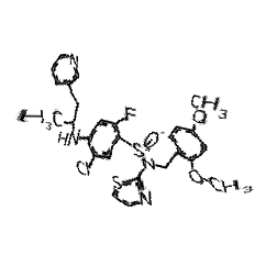 COc1ccc(CN(c2nccs2)[S+]([O-])c2cc(Cl)c(NC(C)Cc3cccnc3)cc2F)c(OC)c1